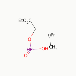 CCCC.CCOC(=O)CO[PH](=O)O